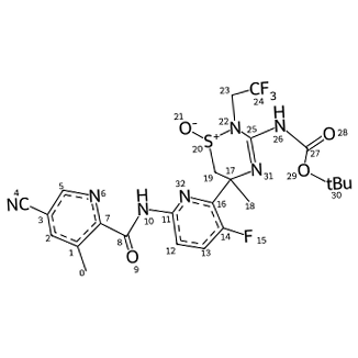 Cc1cc(C#N)cnc1C(=O)Nc1ccc(F)c(C2(C)C[S+]([O-])N(CC(F)(F)F)C(NC(=O)OC(C)(C)C)=N2)n1